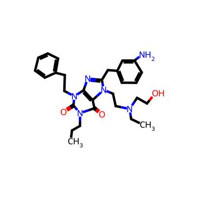 CCCn1c(=O)c2c(nc(Cc3cccc(N)c3)n2CCN(CC)CCO)n(CCc2ccccc2)c1=O